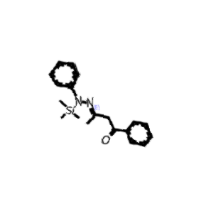 C/C(CC(=O)c1ccccc1)=N\N(c1ccccc1)[Si](C)(C)C